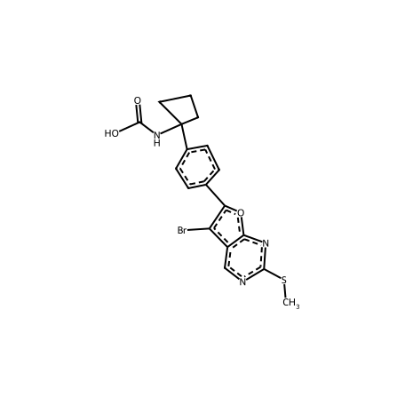 CSc1ncc2c(Br)c(-c3ccc(C4(NC(=O)O)CCC4)cc3)oc2n1